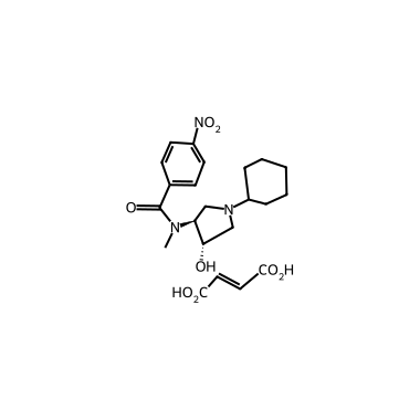 CN(C(=O)c1ccc([N+](=O)[O-])cc1)[C@H]1CN(C2CCCCC2)C[C@@H]1O.O=C(O)/C=C/C(=O)O